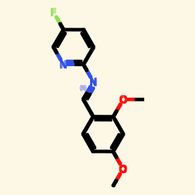 COc1ccc(/C=N/c2ccc(F)cn2)c(OC)c1